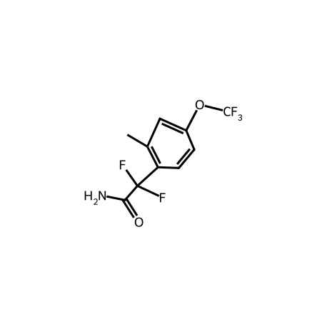 Cc1cc(OC(F)(F)F)ccc1C(F)(F)C(N)=O